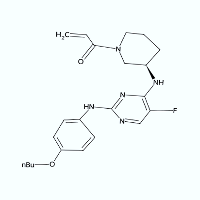 C=CC(=O)N1CCC[C@@H](Nc2nc(Nc3ccc(OCCCC)cc3)ncc2F)C1